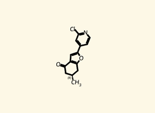 C[C@H]1CC(=O)c2cc(-c3ccnc(Cl)c3)oc2C1